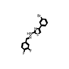 Fc1ccc(C=NNc2nc(-c3cccc(Br)c3)cs2)cc1F